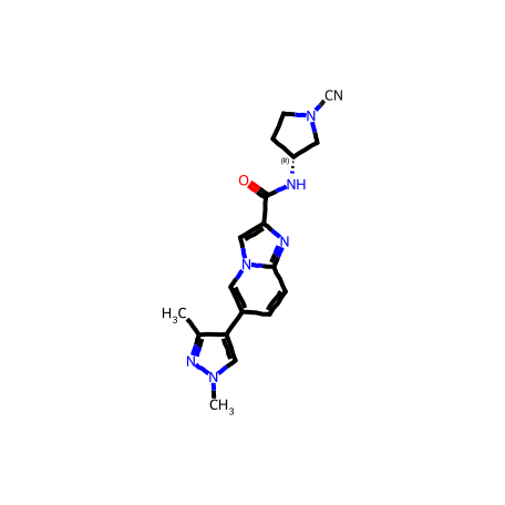 Cc1nn(C)cc1-c1ccc2nc(C(=O)N[C@@H]3CCN(C#N)C3)cn2c1